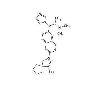 CC(C(c1ccc2cc(OCC3(C(=O)O)CCCC3)ccc2c1)n1ccnc1)N(C)C